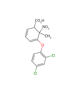 CC1([N+](=O)[O-])C(Oc2ccc(Cl)cc2Cl)=CC=CC1C(=O)O